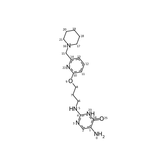 Nc1cnc(NCCCOc2cccc(CN3CCCCC3)n2)[nH]c1=O